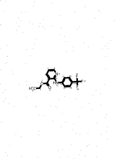 CCOC(=O)c1cccnc1Nc1ccc(C(F)(F)F)cc1